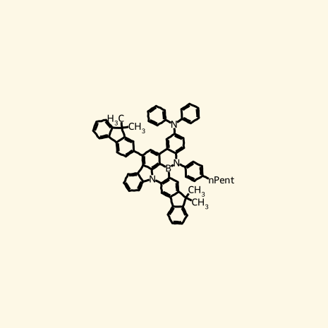 CCCCCc1ccc(N2B3c4cc5c(cc4-n4c6ccccc6c6c(-c7ccc8c(c7)C(C)(C)c7ccccc7-8)cc(c3c64)-c3cc(N(c4ccccc4)c4ccccc4)ccc32)-c2ccccc2C5(C)C)cc1